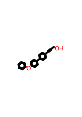 OCC#Cc1ccc(-c2ccc(Oc3ccccc3)cc2)cc1